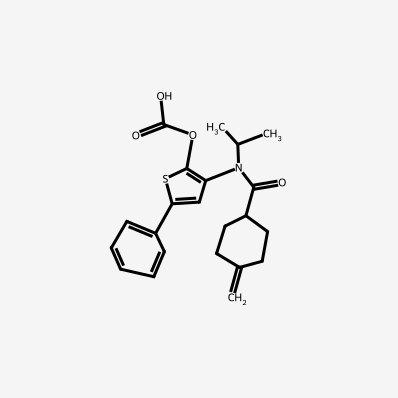 C=C1CCC(C(=O)N(c2cc(-c3ccccc3)sc2OC(=O)O)C(C)C)CC1